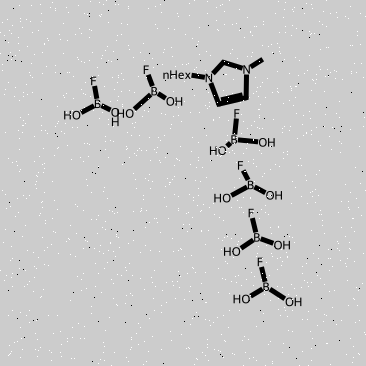 CCCCCCN1C=CN(C)C1.OB(O)F.OB(O)F.OB(O)F.OB(O)F.OB(O)F.OB(O)F